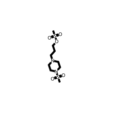 CS(=O)(=O)OCCCN1CCN(S(C)(=O)=O)CC1